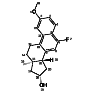 COc1ccc2c(F)cc3c(c2c1)CC[C@]1(C)C[C@@H](O)C[C@@H]31